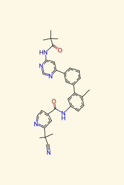 Cc1ccc(NC(=O)c2ccnc(C(C)(C)C#N)c2)cc1-c1cccc(-c2cc(NC(=O)C(C)(C)C)ncn2)c1